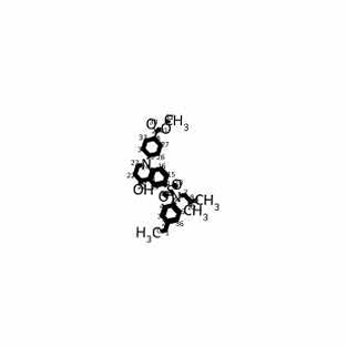 CCc1ccc(N(CC(C)C)S(=O)(=O)c2ccc3c(c2)C(O)CCN3[C@H]2CC[C@H](C(=O)OC)CC2)cc1